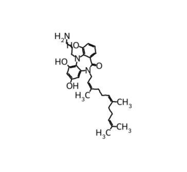 CC(C)=CCCC(C)=CCCC(C)=CCN1C(=O)c2cccc(O)c2N(CCCN)c2c(O)cc(O)cc21